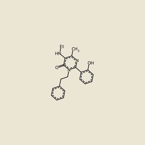 CCNc1c(C)nc(-c2ccccc2O)n(CCc2ccccc2)c1=O